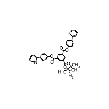 CC1(C)OB(c2cc(C(=O)Oc3ccc(-c4ccccn4)cc3)cc(C(=O)Oc3ccc(-c4ccccn4)cc3)c2)OC1(C)C